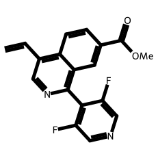 C=Cc1cnc(-c2c(F)cncc2F)c2cc(C(=O)OC)ccc12